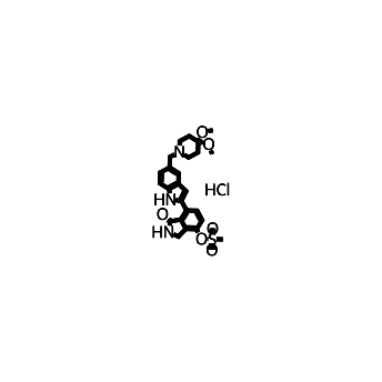 COC1(OC)CCN(Cc2ccc3[nH]c(-c4ccc(OS(C)(=O)=O)c5c4C(=O)NC5)cc3c2)CC1.Cl